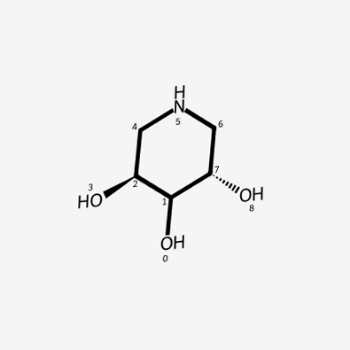 OC1[C@@H](O)CNC[C@@H]1O